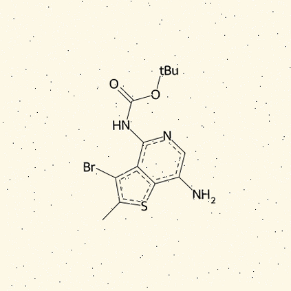 Cc1sc2c(N)cnc(NC(=O)OC(C)(C)C)c2c1Br